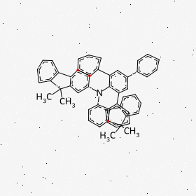 CC1(C)c2ccccc2-c2ccc(N(c3cccc4c3-c3ccccc3C4(C)C)c3c(-c4ccccc4)cc(-c4ccccc4)cc3-c3ccccc3)cc21